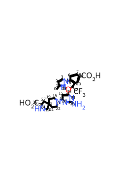 Cc1ccn(-c2ccc(C(=O)O)cc2[C@@H](Oc2cc(N3CCC4(CC3)CN[C@H](C(=O)O)C4)nc(N)n2)C(F)(F)F)n1